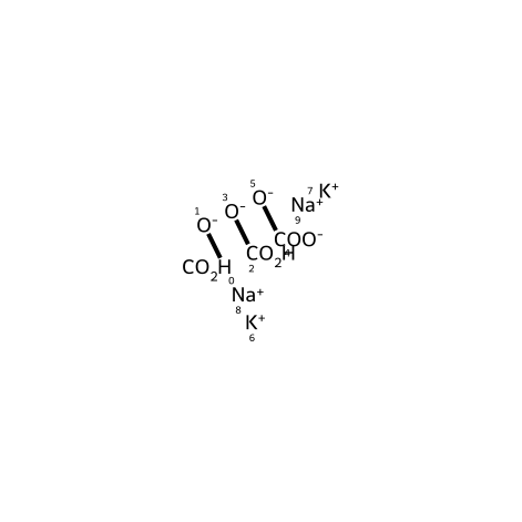 O=C([O-])O.O=C([O-])O.O=C([O-])[O-].[K+].[K+].[Na+].[Na+]